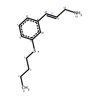 CCCCSc1cccc(/C=C/CN)c1